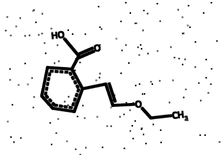 CCO/C=C/c1ccccc1C(=O)O